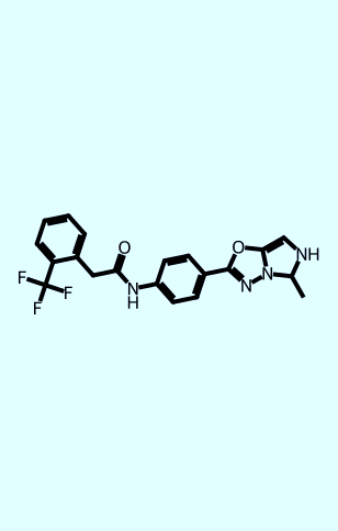 CC1NC=C2OC(c3ccc(NC(=O)Cc4ccccc4C(F)(F)F)cc3)=NN21